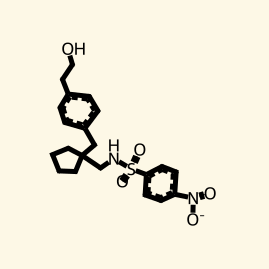 O=[N+]([O-])c1ccc(S(=O)(=O)NCC2(Cc3ccc(CCO)cc3)CCCC2)cc1